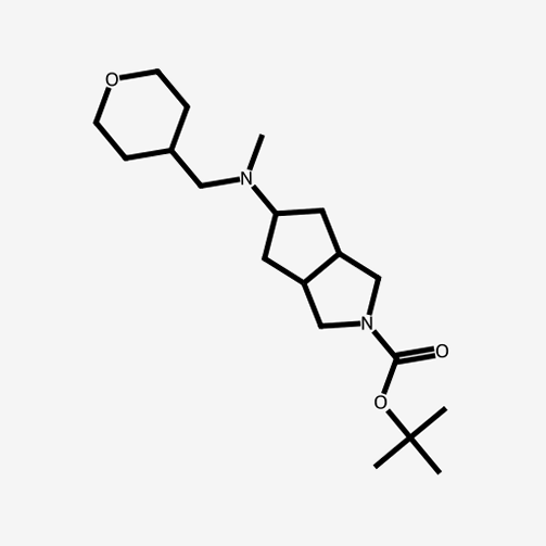 CN(CC1CCOCC1)C1CC2CN(C(=O)OC(C)(C)C)CC2C1